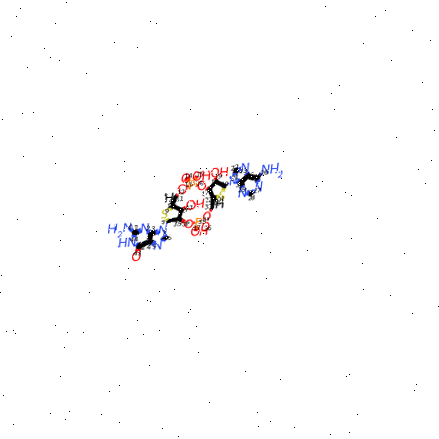 Nc1nc2c(ncn2[C@@H]2S[C@@H]3COP(=O)(O)OC4C(O)[C@H](n5cnc6c(N)ncnc65)S[C@@H]4COP(=O)(O)OC2C3O)c(=O)[nH]1